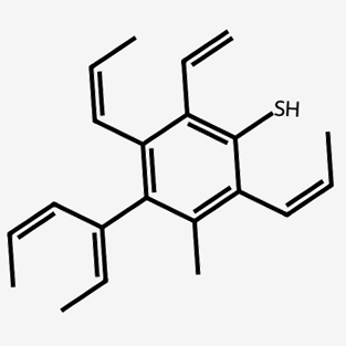 C=Cc1c(S)c(/C=C\C)c(C)c(C(/C=C\C)=C/C)c1/C=C\C